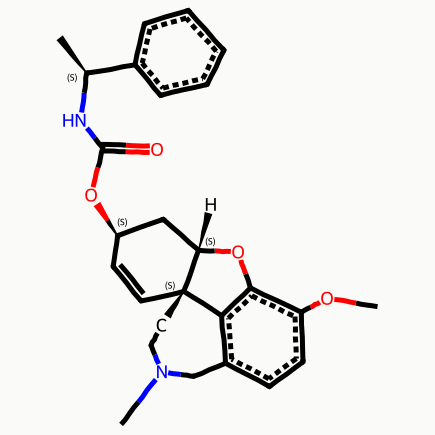 COc1ccc2c3c1O[C@H]1C[C@H](OC(=O)N[C@@H](C)c4ccccc4)C=C[C@@]31CCN(C)C2